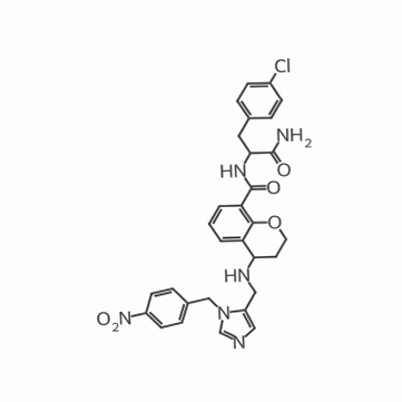 NC(=O)C(Cc1ccc(Cl)cc1)NC(=O)c1cccc2c1OCCC2NCc1cncn1Cc1ccc([N+](=O)[O-])cc1